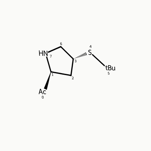 CC(=O)[C@@H]1C[C@@H](SC(C)(C)C)CN1